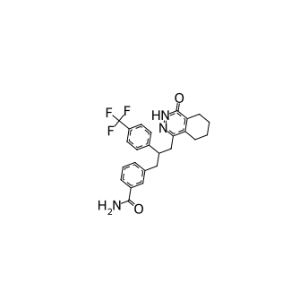 NC(=O)c1cccc(CC(Cc2n[nH]c(=O)c3c2CCCC3)c2ccc(C(F)(F)F)cc2)c1